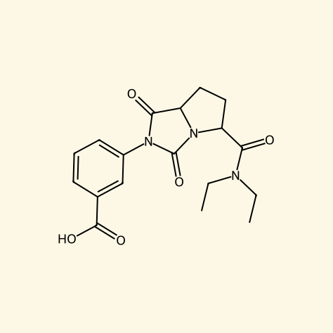 CCN(CC)C(=O)C1CCC2C(=O)N(c3cccc(C(=O)O)c3)C(=O)N12